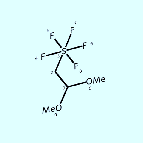 COC(CS(F)(F)(F)(F)F)OC